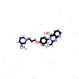 CCC1N=c2ncccc2=C(O)N1c1ccc(OCCCN2CCC[C@H](C)C2)cc1